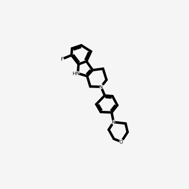 Fc1cccc2c3c([nH]c12)CN(c1ccc(N2CCOCC2)cc1)CC3